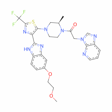 COCCOc1ccc2[nH]c(-c3nc(C(F)(F)F)sc3N3CCN(C(=O)Cn4cnc5cccnc54)[C@H](C)C3)nc2c1